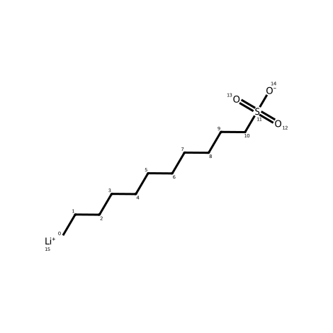 CCCCCCCCCCCS(=O)(=O)[O-].[Li+]